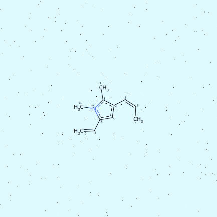 C=Cc1cc(/C=C\C)c(C)n1C